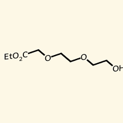 CCOC(=O)COCCOCCO